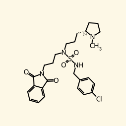 CN1CCC[C@H]1CCCN(CCCN1C(=O)c2ccccc2C1=O)S(=O)(=O)NCc1ccc(Cl)cc1